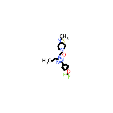 CCCc1nc(-c2ccc(OC(F)F)cc2)nn1CC(=O)N1CCc2nc(C)sc2CC1